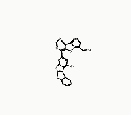 CC(C)c1cc(-c2ncnc3c2sc2c(CC(C)(C)C)cccc23)cc2sc3sc4ccccc4c3c12